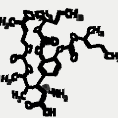 CCCC(C)OC(=O)Oc1ccc(C(C(C)C(C)OC(=O)OCCC(C)C)[C@H](N)C(=O)O)cc1OC(=O)OC(C)CCC